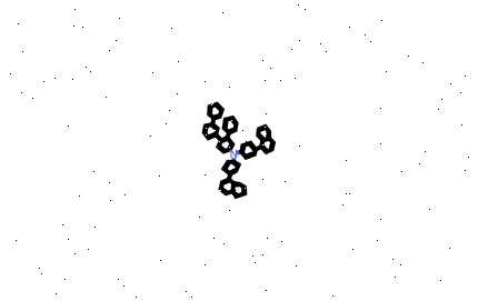 c1ccc(-c2cccc(-c3ccc(N(c4ccc(-c5cccc6ccccc56)cc4)c4ccc(-c5cccc6ccccc56)cc4)cc3-c3ccccc3)c2)cc1